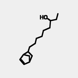 CCC(O)CCCCCCC1CC2C=CC1C2